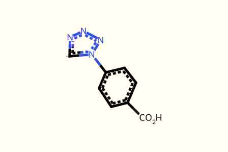 O=C(O)c1ccc(-n2[c]nnn2)cc1